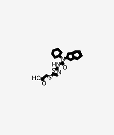 O=C(O)CSc1cnc(NC(=O)N(C2CCCCC2)C2Cc3ccccc3C2)s1